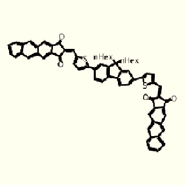 CCCCCCC1(CCCCCC)c2cc(-c3ccc(C=C4C(=O)c5cc6cc7ccccc7cc6cc5C4=O)s3)ccc2-c2ccc(-c3ccc(C=C4C(=O)c5cc6cc7ccccc7cc6cc5C4=O)s3)cc21